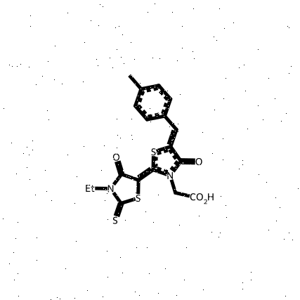 CCN1C(=O)/C(=c2\sc(=Cc3ccc(C)cc3)c(=O)n2CC(=O)O)SC1=S